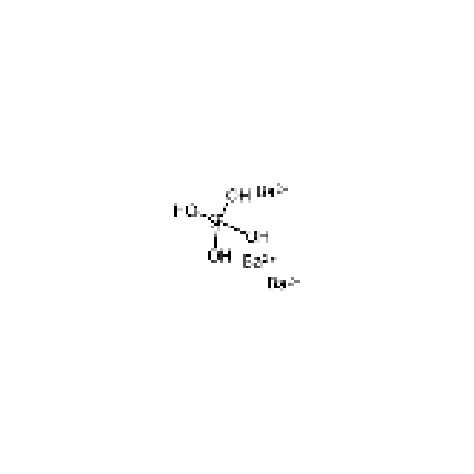 O[Si](O)(O)O.[Ba+2].[Ba+2].[Ba+2]